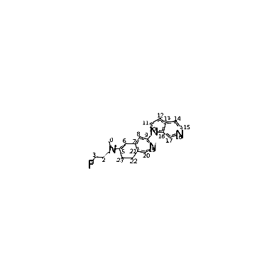 CN(CCF)C1=Cc2cc(-n3ccc4ccncc43)ncc2CC1